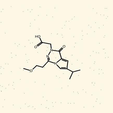 COCCc1nn(CC(=O)O)c(=O)c2cc(C(C)C)cn12